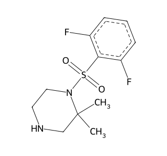 CC1(C)CNCCN1S(=O)(=O)c1c(F)cccc1F